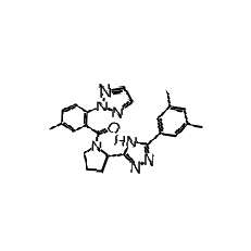 Cc1cc(C)cc(-c2nnc(C3CCCN3C(=O)c3cc(C)ccc3-n3nccn3)[nH]2)c1